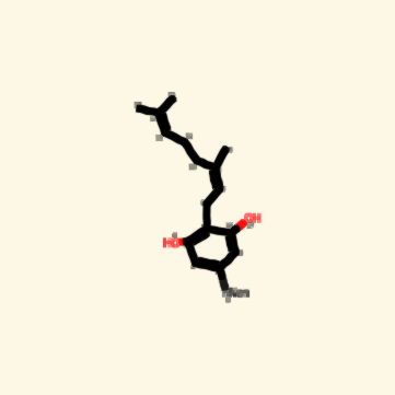 CCCCCCCCCc1cc(O)c(CC=C(C)CCC=C(C)C)c(O)c1